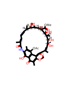 COC(=O)[C@@H]1[C@H](O)[C@H](C)[C@H](O)[C@H](C)/C=C\C=C(/C)C(=O)Nc2c(C)c(OC(C)=O)c3c(c2O)C(=O)C(C)=C2OCOC(=C23)/C(C)=C\[C@@](C)(O)[C@H](O)[C@@H](C)[C@H]1O